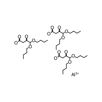 CCCCOC(OCCCC)C(=O)CC(=O)[O-].CCCCOC(OCCCC)C(=O)CC(=O)[O-].CCCCOC(OCCCC)C(=O)CC(=O)[O-].[Al+3]